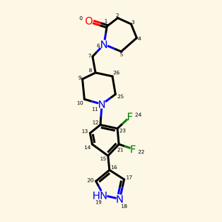 O=C1CCCCN1CC1CCN(c2ccc(-c3cn[nH]c3)c(F)c2F)CC1